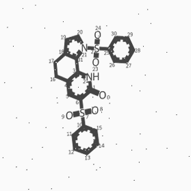 O=c1[nH]c2c(cc1S(=O)(=O)c1ccccc1)CCc1ccn(S(=O)(=O)c3ccccc3)c1-2